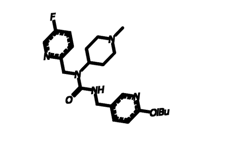 CC(C)COc1ccc(CNC(=O)N(Cc2ccc(F)cn2)C2CCN(C)CC2)cn1